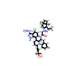 CCNc1nn(C)c2c(-c3ccc(C#CC(C)(C)O)nc3[C@H](Cc3cc(F)cc(F)c3)NC(=O)Cn3nc(C(F)F)c4c3C(F)(F)[C@@H]3CC[C@H]43)ccc(Cl)c12